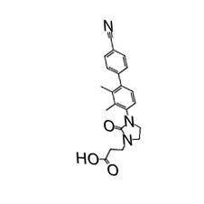 Cc1c(-c2ccc(C#N)cc2)ccc(N2CCN(CCC(=O)O)C2=O)c1C